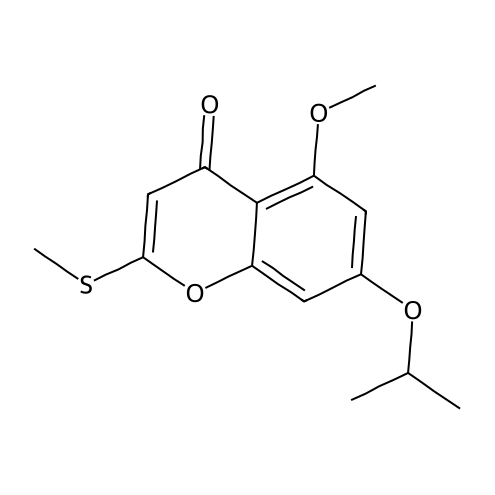 COc1cc(OC(C)C)cc2oc(SC)cc(=O)c12